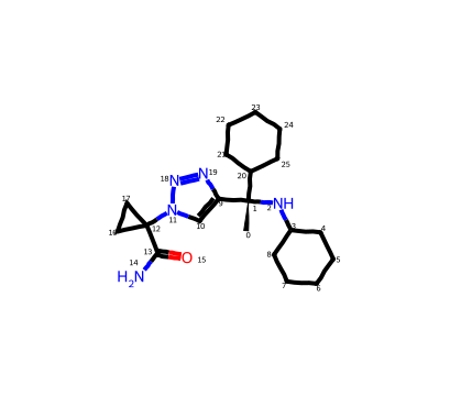 C[C@@](NC1CCCCC1)(c1cn(C2(C(N)=O)CC2)nn1)C1CCCCC1